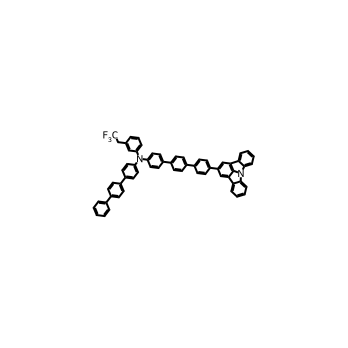 FC(F)(F)Cc1cccc(N(c2ccc(-c3ccc(-c4ccccc4)cc3)cc2)c2ccc(-c3ccc(-c4ccc(-c5cc6c7ccccc7n7c8ccccc8c(c5)c67)cc4)cc3)cc2)c1